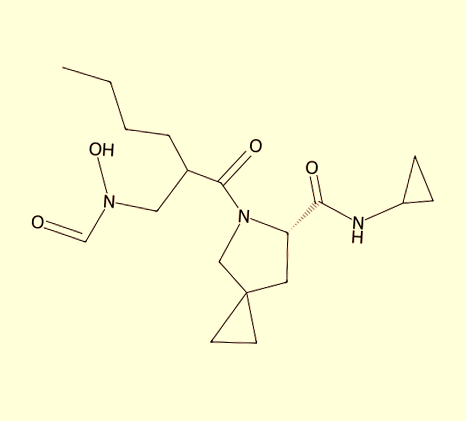 CCCCC(CN(O)C=O)C(=O)N1CC2(CC2)C[C@H]1C(=O)NC1CC1